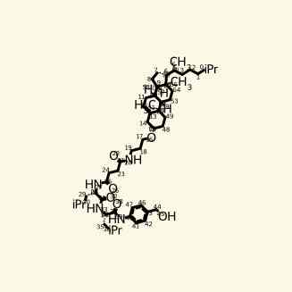 CC(C)CCC[C@@H](C)[C@H]1CC[C@H]2[C@@H]3CC=C4C[C@@H](OCCCNC(=O)CCC(=O)N[C@@H](CC(C)C)C(=O)N[C@@H](CC(C)C)C(=O)Nc5ccc(CO)cc5)CC[C@]4(C)[C@H]3CC[C@]12C